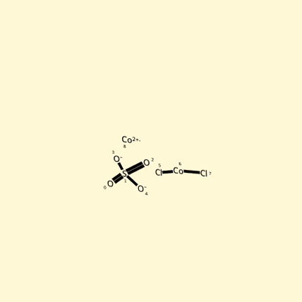 O=S(=O)([O-])[O-].[Cl][Co][Cl].[Co+2]